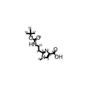 Cn1cc(C(=O)O)nc1CCNC(=O)OC(C)(C)C